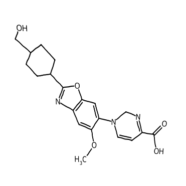 COc1cc2nc(C3CCC(CO)CC3)oc2cc1N1C=CC(C(=O)O)=NC1